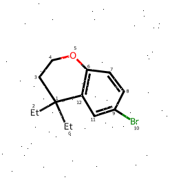 CCC1(CC)CCOc2ccc(Br)cc21